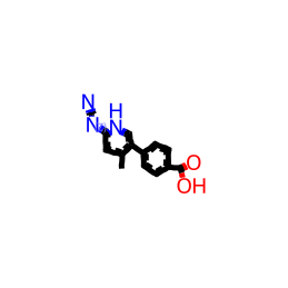 Cc1c/c(=N/C#N)[nH]cc1-c1ccc(C(=O)O)cc1